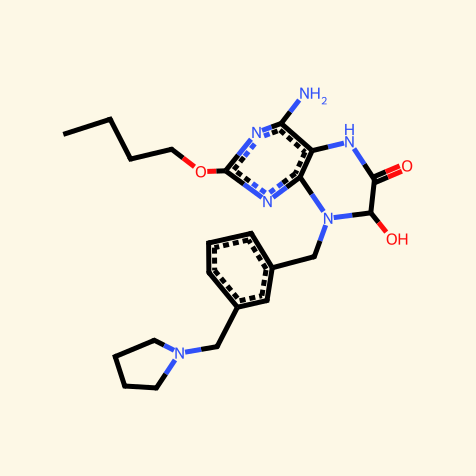 CCCCOc1nc(N)c2c(n1)N(Cc1cccc(CN3CCCC3)c1)C(O)C(=O)N2